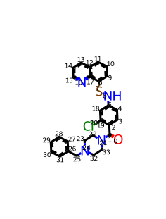 O=C(c1ccc(NSc2cccc3cccnc23)cc1Cl)N1CCN(Cc2ccccc2)CC1